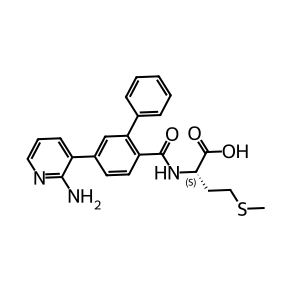 CSCC[C@H](NC(=O)c1ccc(-c2cccnc2N)cc1-c1ccccc1)C(=O)O